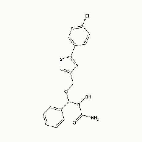 NC(=O)N(O)C(OCc1csc(-c2ccc(Cl)cc2)n1)c1ccccc1